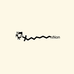 CCCCCCCCCCCCCCCCCC(C)(C)n1cnnn1